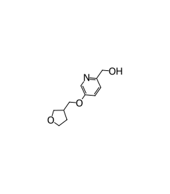 OCc1ccc(OCC2CCOC2)cn1